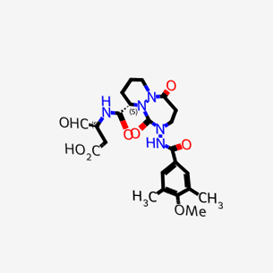 COc1c(C)cc(C(=O)NN2CCC(=O)N3CCC[C@@H](C(=O)N[C@H](C=O)CC(=O)O)N3C2=O)cc1C